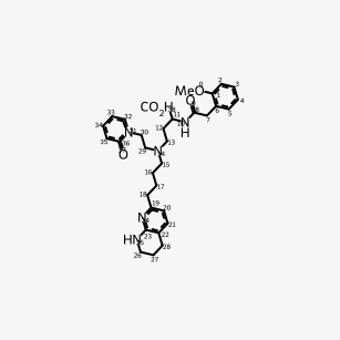 COc1ccccc1CC(=O)NC(CCN(CCCCc1ccc2c(n1)NCCC2)CCn1ccccc1=O)C(=O)O